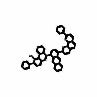 Sc1c(-c2ccccc2)ccc2nc(-c3ccc(-c4ccc5ccc6ccc(-c7ccccc7)nc6c5n4)c4cc5ccccc5cc34)c3ccccc3c12